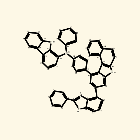 c1ccc(-c2nc3c(-c4cc(-c5ccc(N(c6ccccc6)c6cccc7c6oc6ccccc67)cc5)c5c(c4)oc4ccc6ccccc6c45)cccc3o2)cc1